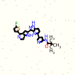 CC(C)(C)C(=O)Nc1cncc(-c2ccc3[nH]nc(-c4cc5c(-c6ccc(F)s6)nccc5[nH]4)c3n2)c1